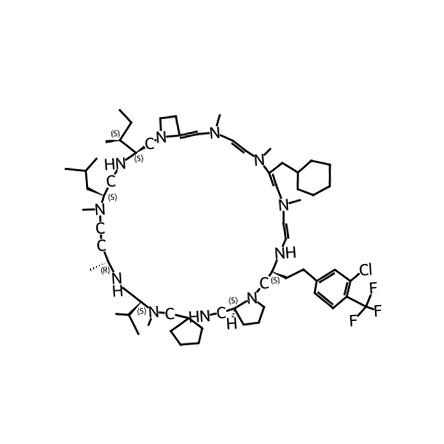 CC[C@H](C)[C@H]1CN2CCC2=CN(C)C=CN(C)C(CC2CCCCC2)=CN(C)C=CN[C@@H](CCc2ccc(C(F)(F)F)c(Cl)c2)CN2CCC[C@H]2CNC2(CCCC2)CN(C)[C@@H](C(C)C)CN[C@H](C)CCN(C)[C@@H](CC(C)C)CN1